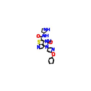 O=C(NC1CCNC1)c1sc2nccc3c2c1NC(=O)N3c1ccc(Oc2ccccc2)nc1